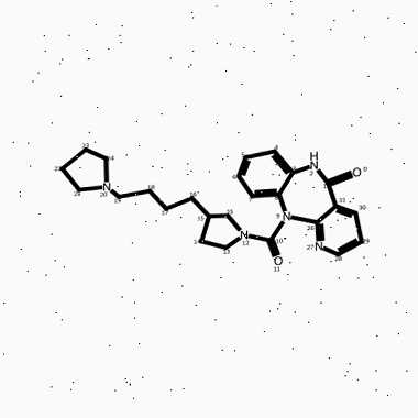 O=C1Nc2ccccc2N(C(=O)N2CCC(CCCCN3CCCC3)C2)c2ncccc21